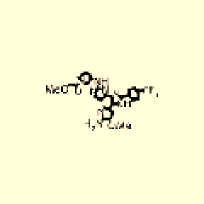 COCC(=O)N1CCC[C@@H](Nc2nccc(-c3nc(-c4ccc(C(F)(F)F)cc4)[nH]c3-c3cnc(N)c(OC)c3)n2)C1